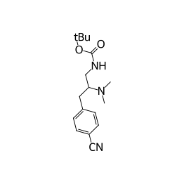 CN(C)C(CNC(=O)OC(C)(C)C)Cc1ccc(C#N)cc1